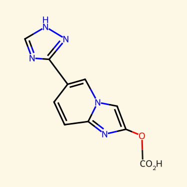 O=C(O)Oc1cn2cc(-c3nc[nH]n3)ccc2n1